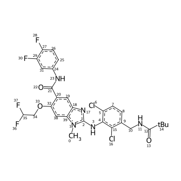 Cn1c(Nc2c(Cl)ccc(CNC(=O)C(C)(C)C)c2Cl)nc2cc(C(=O)Nc3ccc(F)c(F)c3)c(OCC(F)F)cc21